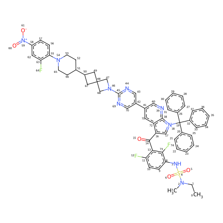 CCN(C)S(=O)(=O)Nc1ccc(F)c(C(=O)c2cn(C(c3ccccc3)(c3ccccc3)c3ccccc3)c3ncc(-c4cnc(N5CC6(CC(C7CCN(c8ccc([N+](=O)[O-])cc8F)CC7)C6)C5)nc4)cc23)c1F